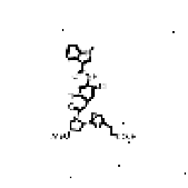 CO[C@H]1C[C@@H](c2ncc(CCC(=O)O)o2)N(C(=O)Cc2cc(Cl)c(NC(=O)c3cn(C)c4ccccc34)cc2Cl)C1